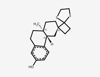 C[C@@]12CCc3cc(O)ccc3[C@H]1C[C@@]1(CCC13SCCS3)CC2